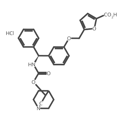 Cl.O=C(N[C@@H](c1ccccc1)c1cccc(OCc2ccc(C(=O)O)o2)c1)OC1CN2CCC1CC2